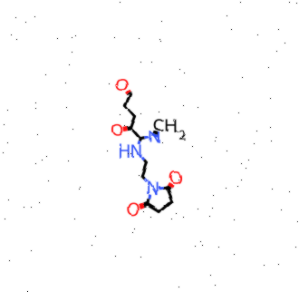 C=NC(NCCN1C(=O)CCC1=O)C(=O)CCC=O